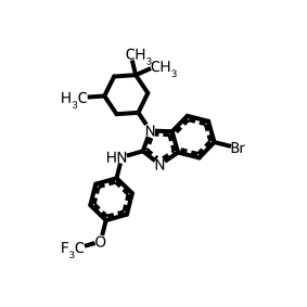 CC1CC(n2c(Nc3ccc(OC(F)(F)F)cc3)nc3cc(Br)ccc32)CC(C)(C)C1